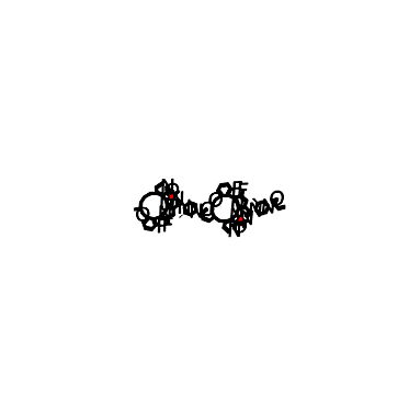 C=CC(=O)N1CCN(c2nc(=O)n3c4nc(c(F)cc24)-c2c(F)cccc2OCCC(/C=C\C(=O)N2CCN(c4nc(=O)n5c6nc(c(F)cc46)-c4c(F)cccc4OC(C)CCCc4ccnc(C(C)C)c4-5)[C@@H](C)C2)Cc2ccnc(C(C)(C)C)c2-3)[C@@H](C)C1